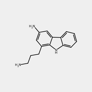 NCCCc1cc(N)cc2c1[nH]c1ccccc12